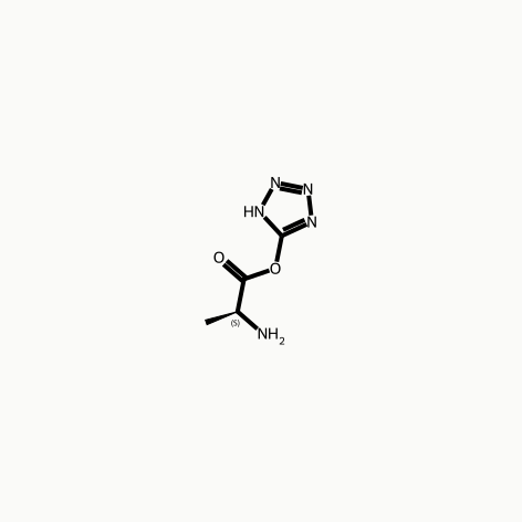 C[C@H](N)C(=O)Oc1nnn[nH]1